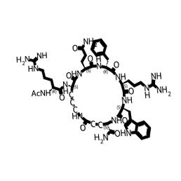 CC(=O)N[C@H](CCCNC(=N)N)C(=O)N[C@H]1CCCNC(=O)CC[C@@H](C(N)=O)NC(=O)[C@H](Cc2c[nH]c3ccccc23)NC(=O)[C@H](CCCNC(=N)N)NC(=O)[C@@H](Cc2ccccc2)NC(=O)[C@H](CCC(N)=O)NC1=O